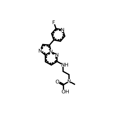 CN(CCNc1ccc2ncc(-c3ccnc(F)c3)n2n1)C(=O)O